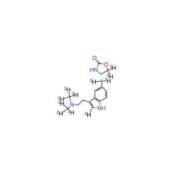 [2H]c1[nH]c2ccc(C([2H])([2H])[C@@H]3NC(=O)OC3([2H])[2H])cc2c1CCN(C([2H])([2H])[2H])C([2H])([2H])[2H]